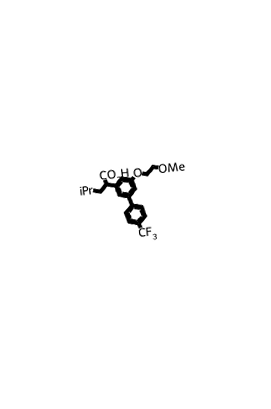 COCCOc1cc(-c2ccc(C(F)(F)F)cc2)cc(C(CC(C)C)C(=O)O)c1